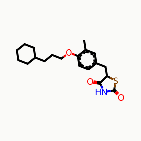 Cc1cc(CC2SC(=O)NC2=O)ccc1OCCCC1CCCCC1